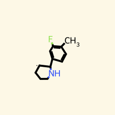 Cc1ccc(C2[CH]CCCN2)cc1F